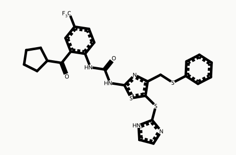 O=C(Nc1nc(CSc2ccccc2)c(Sc2ncc[nH]2)s1)Nc1ccc(C(F)(F)F)cc1C(=O)C1CCCC1